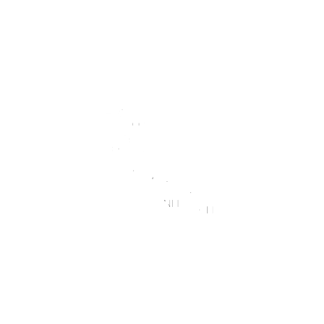 CCc1cc(C=CC(=O)OC)c[nH]1